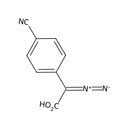 N#Cc1ccc(C(=[N+]=[N-])C(=O)O)cc1